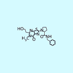 Cn1c(CCO)nc2sc(N3CCCC3C(=O)NCc3ccccc3)nc2c1=O